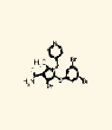 Cc1c(C(N)=O)c(C(C)C)c(Sc2cc(Br)cc(Br)c2)n1Cc1ccncc1